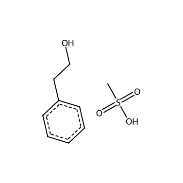 CS(=O)(=O)O.OCCc1ccccc1